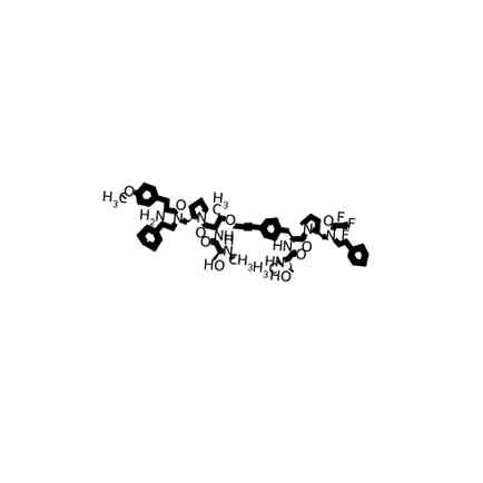 CN[C@@H](CO)C(=O)N[C@@H](Cc1ccc(C#CCO[C@H](C)[C@H](NC(=O)[C@H](CO)NC)C(=O)N2CCC[C@H]2CN(CCc2ccccc2)C(=O)[C@H](N)Cc2ccc(OC)cc2)cc1)C(=O)N1CCC[C@H]1CN(CCc1ccccc1)C(=O)C(F)(F)F